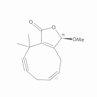 CO[C@@H]1OC(=O)C2=C1C/C=C\CC#CC2(C)C